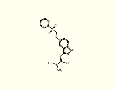 CCC/C(=C\c1c[nH]c2ccc(CCS(=O)(=O)c3ccccc3)cc12)N(C)C